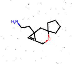 NCCC12C=C1COC1(CCCC1)C2